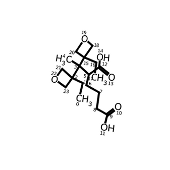 CCC1(C(C)(C(CCCC(=O)O)C(=O)O)C2(CC)COC2)COC1